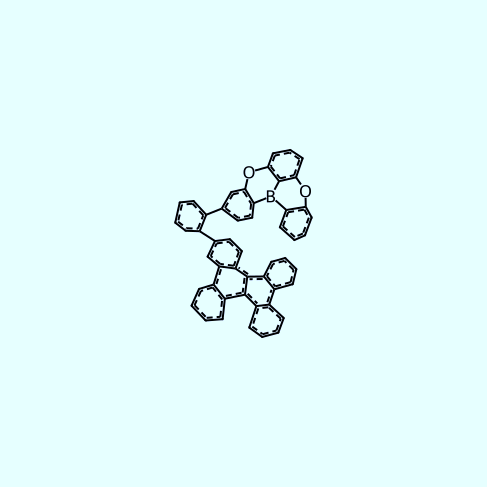 c1ccc2c(c1)Oc1cccc3c1B2c1ccc(-c2ccccc2-c2ccc4c(c2)c2ccccc2c2c5ccccc5c5ccccc5c42)cc1O3